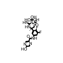 C[C@@]1(c2cc(NC(=O)c3cnc(O)cn3)cc(F)c2F)CS(=O)(=O)N(C(O)(O)O)C(=N)N1